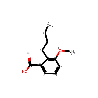 CCCCc1c(OC)cccc1C(=O)O